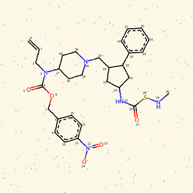 C=CCN(C(=O)OCc1ccc([N+](=O)[O-])cc1)C1CCN(CC2CC(NC(=O)SNC)CC2c2ccccc2)CC1